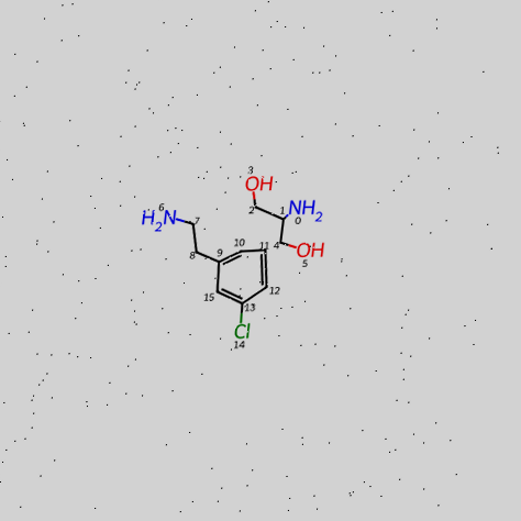 NC(CO)CO.NCCc1cccc(Cl)c1